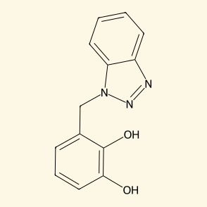 Oc1cccc(Cn2nnc3ccccc32)c1O